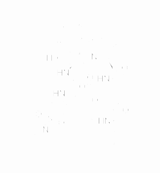 CC1([C@H](NC(=O)NC2(CS(=O)(=O)N3CCC3)CCCCC2)C(=O)N2CCC[C@H]2C(=O)NCC(=O)C(=O)NC2CC2)CCCCC1